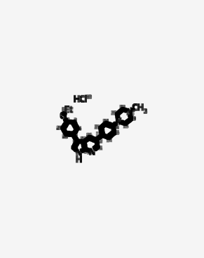 CCOc1ccc(-c2c[nH]c3ncc(-c4ccc(N5CCN(C)CC5)cc4)cc23)cc1.Cl